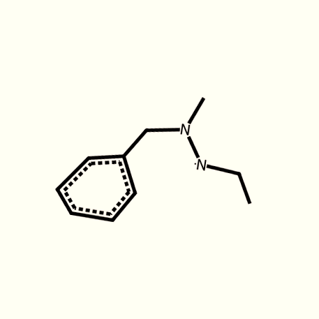 CC[N]N(C)Cc1ccccc1